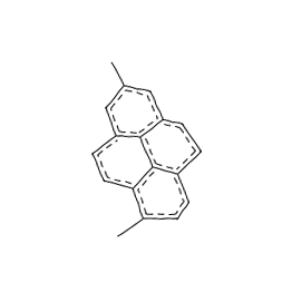 Cc1cc2ccc3ccc(C)c4ccc(c1)c2c34